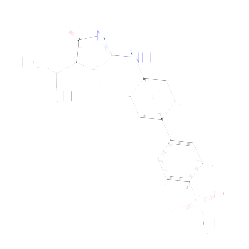 CC(C)C1SC(NC23CCC(c4ccc(S(C)(=O)=O)cc4)(CC2)CC3)=NC1=O